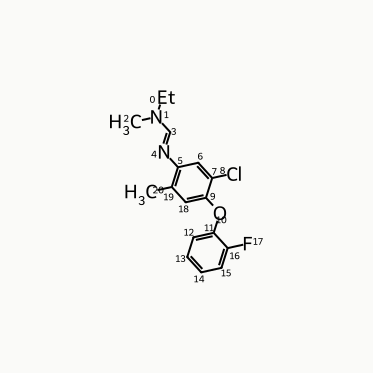 CCN(C)/C=N/c1cc(Cl)c(Oc2ccccc2F)cc1C